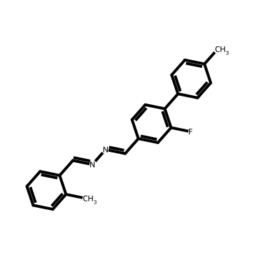 Cc1ccc(-c2ccc(C=NN=Cc3ccccc3C)cc2F)cc1